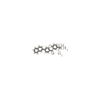 CC(C)(C)c1ccc(Oc2cc(-c3ccc4ccccc4c3)ccc2C=O)cc1